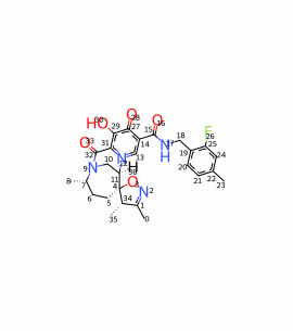 CC1=NO[C@@]2(CC[C@H](C)N3C[C@H]2n2cc(C(=O)NCc4ccc(C)cc4F)c(=O)c(O)c2C3=O)[C@H]1C